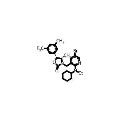 CCN(c1ncc(Br)cc1CN1C(=O)O[C@H](c2cc(C)cc(C(F)(F)F)c2)[C@@H]1C)C1CCCCC1